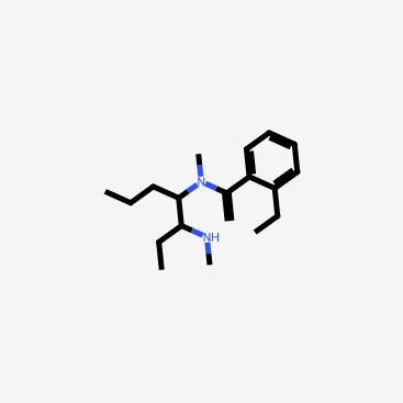 C=C(c1ccccc1CC)N(C)C(CCC)C(CC)NC